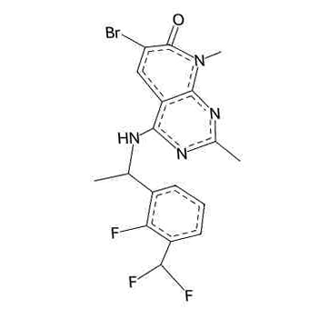 Cc1nc(NC(C)c2cccc(C(F)F)c2F)c2cc(Br)c(=O)n(C)c2n1